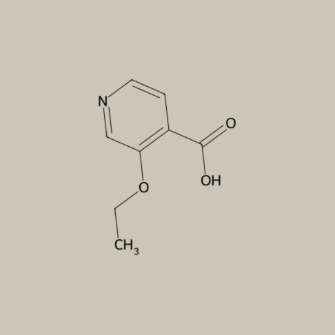 CCOc1cnccc1C(=O)O